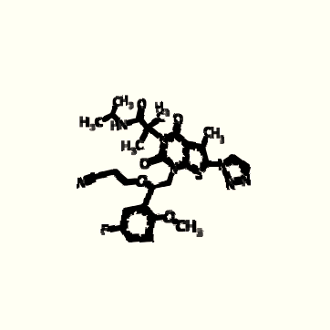 COc1ccc(F)cc1[C@H](Cn1c(=O)n(C(C)(C)C(=O)NC(C)C)c(=O)c2c(C)c(-n3ccnn3)sc21)OCCC#N